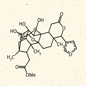 COC(=O)CC1C2(C)CC34OC5(C)OC6(C7CC(=O)OC(c8ccoc8)C7(C)CCC6(O5)C13C)C(O)C4(O)C2O